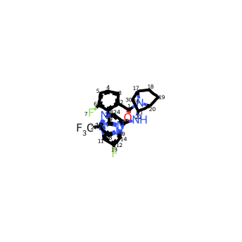 O=C(c1cccc(F)c1-c1ncc(F)cn1)N1C2CCC1C(Nc1cnc(C(F)(F)F)cn1)C2